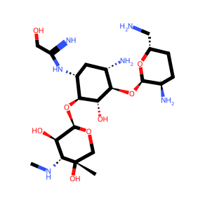 CN[C@@H]1[C@@H](O)[C@@H](O[C@@H]2[C@@H](O)[C@H](O[C@H]3O[C@H](CN)CC[C@H]3N)[C@@H](N)C[C@H]2NC(=N)CO)OC[C@]1(C)O